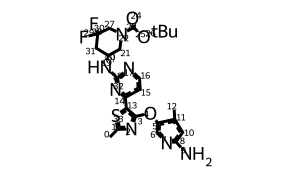 Cc1nc(Oc2cnc(N)cc2C)c(-c2ccnc(N[C@@H]3CN(C(=O)OC(C)(C)C)CC(F)(F)C3)n2)s1